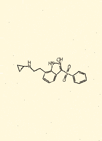 Cl.O=S(=O)(c1ccccc1)c1n[nH]c2c(CCNC3CC3)cccc12